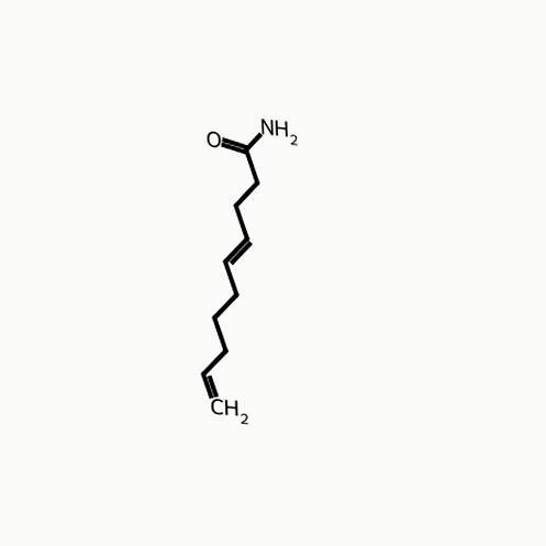 C=CCCCC=CCCC(N)=O